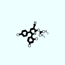 CC(C)Oc1nc(-c2ccc(Cl)cc2Cl)c(-c2ccc(Cl)cc2)cc1C#N